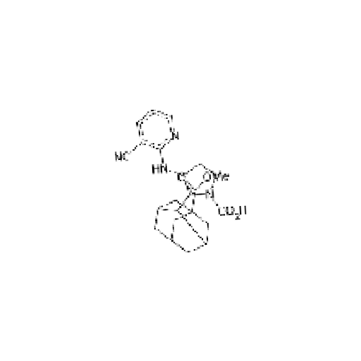 COC(=O)C12CC3CC(C1)C(C1C(Nc4ncccc4C#N)CCN1C(=O)O)C(C3)C2